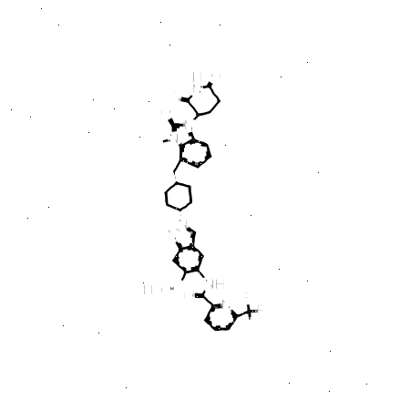 COc1cc2nn([C@H]3CC[C@H](Cc4cccc5c4n(C)c(=O)n5C4CCC(=O)NC4=O)CC3)cc2cc1NC(=O)c1cccc(C(F)(F)F)n1